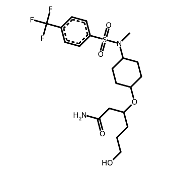 CN(C1CCC(OC(CCCO)CC(N)=O)CC1)S(=O)(=O)c1ccc(C(F)(F)F)cc1